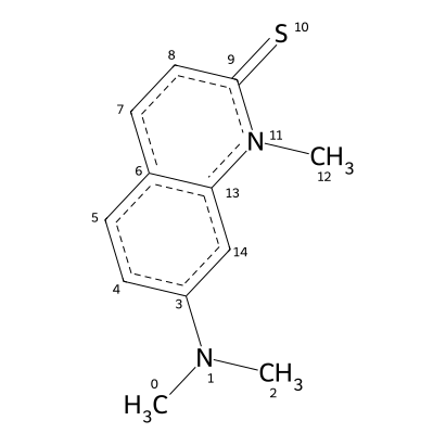 CN(C)c1ccc2ccc(=S)n(C)c2c1